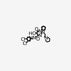 O=C(NCc1ccc(Cl)c(Cl)c1)c1nc2n(CCN3CCCCC3)c3ccccc3n2c(=O)c1O